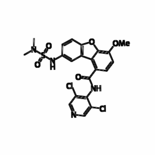 COc1ccc(C(=O)Nc2c(Cl)cncc2Cl)c2c1oc1ccc(NS(=O)(=O)N(C)C)cc12